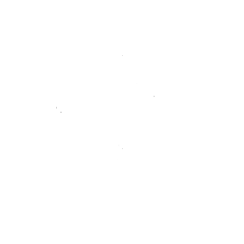 CC(C)CC(CC(=O)N1CCOCC1)C(=O)NC(Cc1ccccc1)C(O)C(Cc1ccccc1)NC(=O)OC(C)(C)C